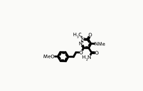 CNc1c(C(N)=O)c(OCCc2ccc(OC)cc2)nn(C)c1=O